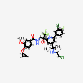 COc1cc(C(=O)NCC(O)(c2cc(C(C)(C)NCCCl)cc(-c3ccc(F)c(Cl)c3)n2)C(F)(F)F)ccc1OC1CC1